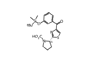 CC(C)(C)[Si](C)(C)Oc1cccc(C(=O)c2csc([C@@H]3CCCN3C(=O)O)n2)c1